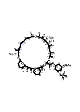 CO[C@H]1CC2CC[C@@H](C)[C@@](O)(O2)C(=O)C(=O)N2CCCC[C@H]2C(=O)O[C@H]([C@H](C)C[C@@H]2CC[C@@H](OP(C)(C)=O)[C@H](OC)C2)CC(=O)[C@H](C)/C=C(\C)[C@@H](O)[C@@H](OC)C(=O)[C@H](C)C[C@H](C)/C=C/C=C/C=C/1C